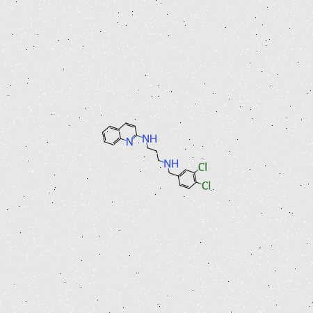 Clc1ccc(CNCCCNc2ccc3ccccc3n2)cc1Cl